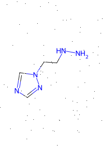 NNCCn1cncn1